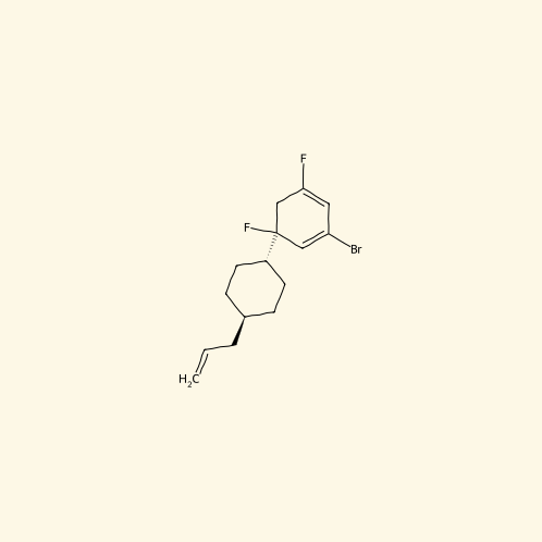 C=CC[C@H]1CC[C@H](C2(F)C=C(Br)C=C(F)C2)CC1